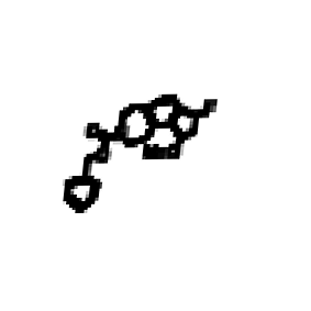 COC1CC(F)c2ccc3c(c21)CCN(C(=O)OCc1ccccc1)CC3